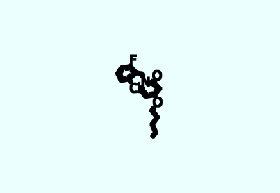 CCCCCOc1ccn(Cc2c(F)cccc2Cl)c(=O)c1